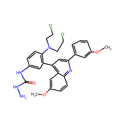 COc1cccc(-c2cc(-c3cc(NC(=O)NN)ccc3N(CCCl)CCCl)c3cc(OC)ccc3n2)c1